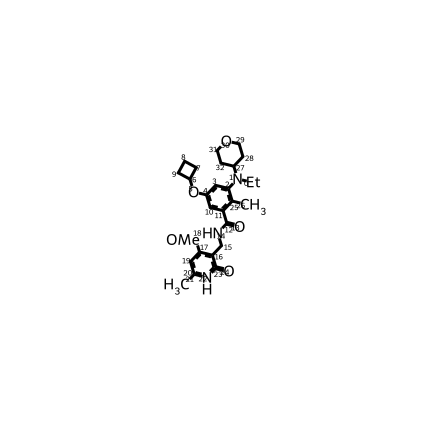 CCN(c1cc(OC2CCC2)cc(C(=O)NCc2c(OC)cc(C)[nH]c2=O)c1C)C1CCOCC1